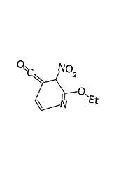 CCOC1=NC=CC(=C=O)C1[N+](=O)[O-]